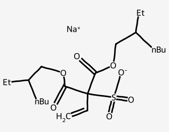 C=CC(C(=O)OCC(CC)CCCC)(C(=O)OCC(CC)CCCC)S(=O)(=O)[O-].[Na+]